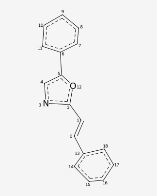 C(=Cc1ncc(-c2ccccc2)o1)c1ccccc1